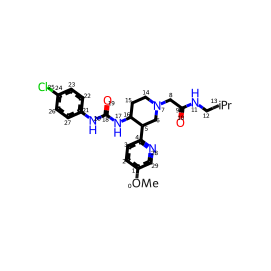 COc1ccc(C2CN(CC(=O)NCC(C)C)CCC2NC(=O)Nc2ccc(Cl)cc2)nc1